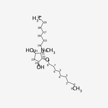 CCCCCCCCCO[C@@H]1[C@@H](N(C)CCCCCCC)[C@H](O)C[C@@H]1O